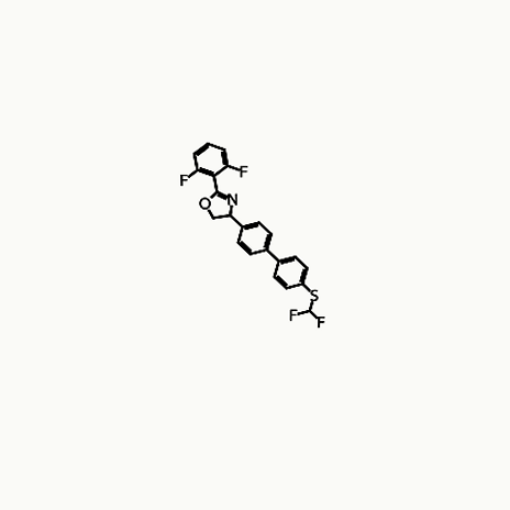 Fc1cccc(F)c1C1=NC(c2ccc(-c3ccc(SC(F)F)cc3)cc2)CO1